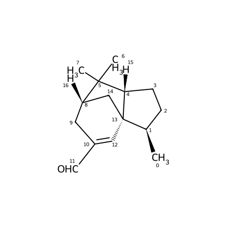 C[C@@H]1CC[C@H]2C(C)(C)[C@H]3CC(C=O)=C[C@@]12C3